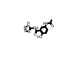 CC(=O)Nc1ccc(O)c(C(=O)Nc2nnn[nH]2)c1